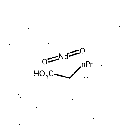 CCCCC(=O)O.[O]=[Nd]=[O]